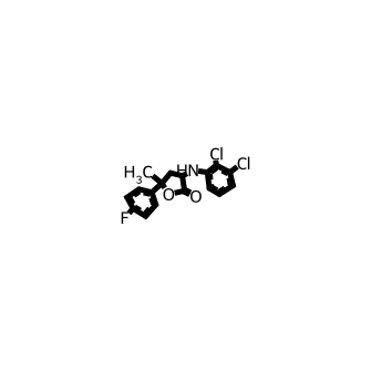 CC1(c2ccc(F)cc2)CC(Nc2cccc(Cl)c2Cl)C(=O)O1